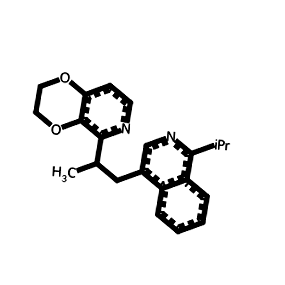 CC(C)c1ncc(CC(C)c2nccc3c2OCCO3)c2ccccc12